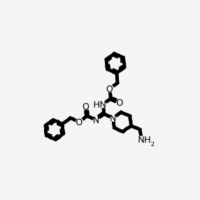 NCC1CCN(C(=NC(=O)OCc2ccccc2)NC(=O)OCc2ccccc2)CC1